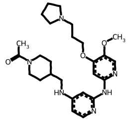 COc1cnc(Nc2cc(NCC3CCN(C(C)=O)CC3)ccn2)cc1OCCCN1CCCC1